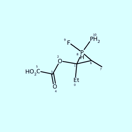 CCC1(OC(=O)C(=O)O)C(C)[PH]1(F)P